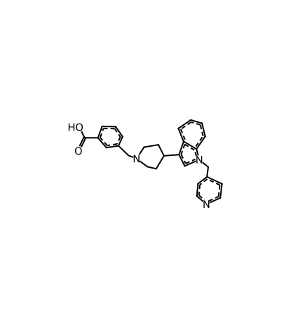 O=C(O)c1cccc(CN2CCC(c3cn(Cc4ccncc4)c4ccccc34)CC2)c1